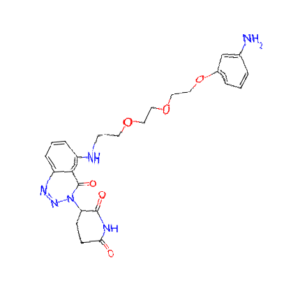 Nc1cccc(OCCOCCOCCNc2cccc3nnn(C4CCC(=O)NC4=O)c(=O)c23)c1